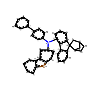 c1ccc(-c2ccc(N(c3ccc4sc5ccccc5c4c3)c3cccc4c3-c3ccccc3C43CC4CCC3C4)cc2)cc1